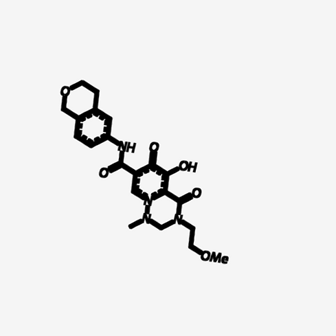 COCCN1CN(C)n2cc(C(=O)Nc3ccc4c(c3)CCOC4)c(=O)c(O)c2C1=O